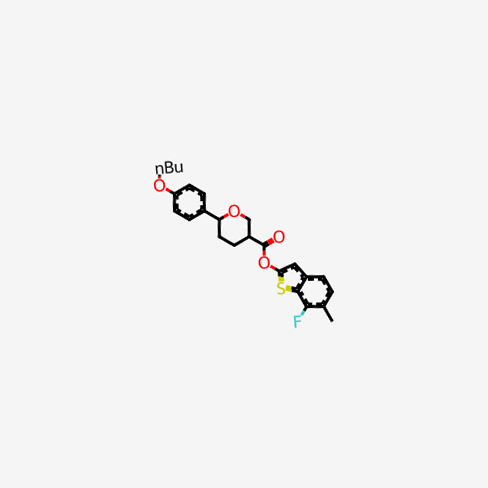 CCCCOc1ccc(C2CCC(C(=O)Oc3cc4ccc(C)c(F)c4s3)CO2)cc1